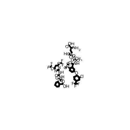 CP(=O)(O)CCC(N)C(=O)O.CS(=O)(=O)NC(=O)c1cc(Oc2ccc(C(F)(F)F)cc2Cl)ccc1[N+](=O)[O-].O=C(Nc1nc(OC(F)F)cc(OC(F)F)n1)NS(=O)(=O)c1ccccc1C(=O)O